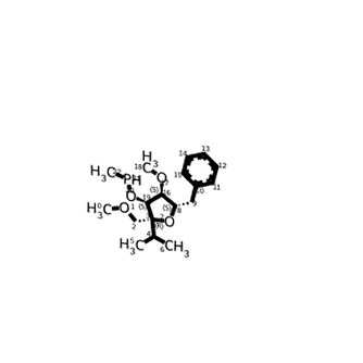 COC[C@@]1(C(C)C)O[C@@H](Cc2ccccc2)[C@H](OC)[C@@H]1OPC